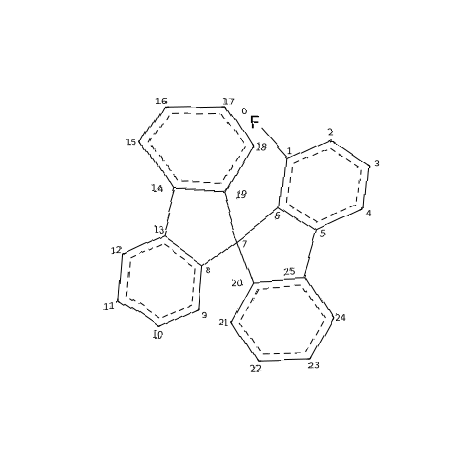 Fc1cccc2c1C1(c3ccccc3-c3ccccc31)c1ccccc1-2